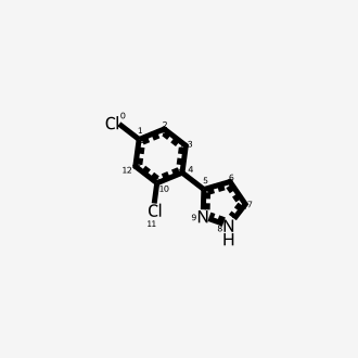 Clc1ccc(-c2c[c][nH]n2)c(Cl)c1